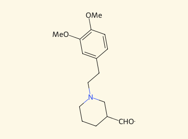 COc1ccc(CCN2CCCC([C]=O)C2)cc1OC